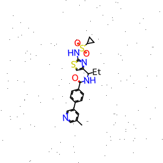 CCC(NC(=O)c1ccc(-c2cncc(C)c2)cc1)c1csc(NS(=O)(=O)C2CC2)n1